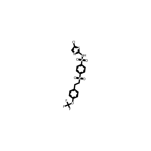 O=S(=O)(CCc1ccc(OC(F)(F)F)cc1)c1ccc(S(=O)(=O)Nc2ncc(Cl)s2)cc1